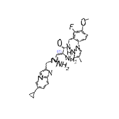 COc1ccc(-n2cc(C)c(C)n2)c(CNC(=O)/C(N)=C/N(N)Cc2cn3cc(C4CC4)ccc3n2)c1F